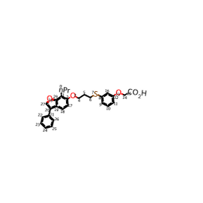 CCCc1c(OCCCSc2cccc(OCC(=O)O)c2)ccc2c(-c3ccccc3)coc12